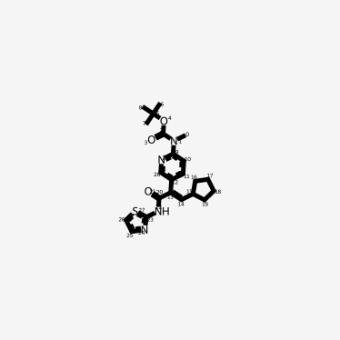 CN(C(=O)OC(C)(C)C)c1ccc(/C(=C\C2CCCC2)C(=O)Nc2nccs2)cn1